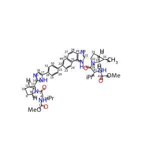 COC(=O)N[C@H](C(=O)N1[C@@H]2CC[C@@H](C2)[C@H]1c1ncc(-c2ccc(-c3ccc4c(ccc5nc([C@@H]6C[C@H]7[C@@H](C)[C@H]7N6C(=O)[C@@H](NC(=O)OC)C(C)C)[nH]c54)c3)cc2)[nH]1)C(C)C